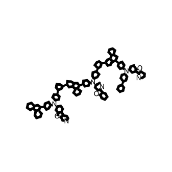 c1ccc(-c2ccc(N(c3ccc(-c4cc5ccccc5c5cc(-c6cccc(-c7ccc(N(c8ccc(-c9cc%10ccc(-c%11cccc(-c%12ccc(N(c%13ccc(-c%14cc%15ccccc%15c%15ccccc%14%15)cc%13)c%13ccc%14c(c%13)oc%13cnccc%13%14)cc%12)c%11)cc%10c%10ccccc9%10)cc8)c8cnc9c(c8)oc8ccccc89)cc7)c6)ccc45)cc3)c3ccc4oc5cccnc5c4c3)cc2)cc1